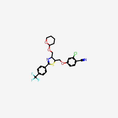 N#Cc1ccc(OCC2SC(c3ccc(C(F)(F)F)cc3)=NC2COC2CCCCO2)cc1Cl